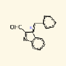 O=CC1=Nc2ccccc2/C1=C\c1ccccc1